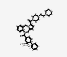 CC1(C)C=C(C(=O)N2Cc3ccc(C(=O)N4CCN(CCN5CCOCC5)CC4)n3Cc3ccccc32)C=CC1c1ccccc1